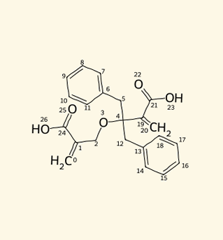 C=C(COC(Cc1ccccc1)(Cc1ccccc1)C(=C)C(=O)O)C(=O)O